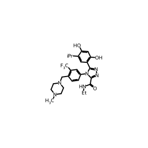 CCNC(=O)c1nnc(-c2cc(C(C)C)c(O)cc2O)n1-c1ccc(CN2CCN(C)CC2)c(C(F)(F)F)c1